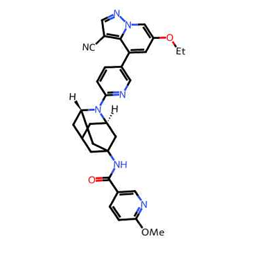 CCOc1cc(-c2ccc(N3[C@@H]4CC5C[C@H]3CC(NC(=O)c3ccc(OC)nc3)(C5)C4)nc2)c2c(C#N)cnn2c1